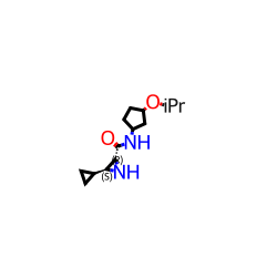 CC(C)OC1CCC(NC(=O)[C@@H]2N[C@H]2C2CC2)C1